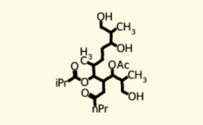 CCCC(=O)CC(C(OC(C)=O)C(C)CO)C(OC(=O)C(C)C)C(C)CCC(O)C(C)CO